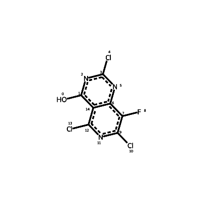 Oc1nc(Cl)nc2c(F)c(Cl)nc(Cl)c12